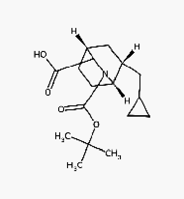 CC(C)(C)OC(=O)N1C(C(=O)O)[C@@H]2CC[C@H]1[C@@H](CC1CC1)C2